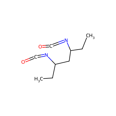 CCC(CC(CC)N=C=O)N=C=O